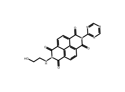 O=C1c2ccc3c4c(ccc(c24)C(=O)N1NCCO)C(=O)N(c1ncncn1)C3=O